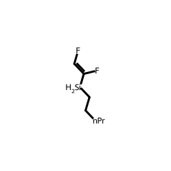 [CH2]CCCC[SiH2]C(F)=CF